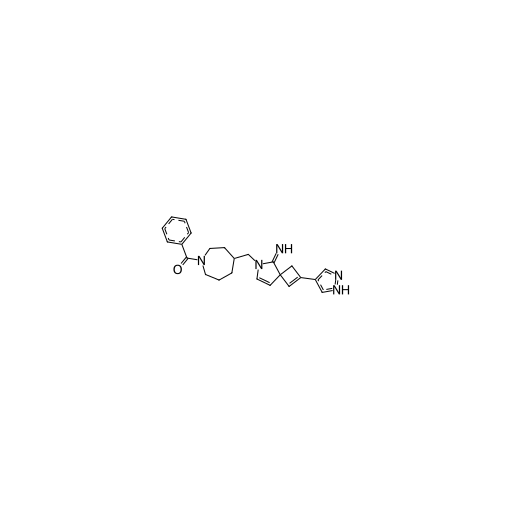 N=C1N(CC2CCCN(C(=O)c3ccccc3)CC2)C=CC12C=C(c1cn[nH]c1)C2